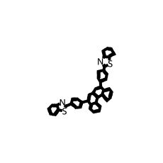 c1ccc2sc(-c3ccc(-c4cc5cc(-c6ccc(-c7nc8ccccc8s7)cc6)c6ccccc6c5c5ccccc45)cc3)nc2c1